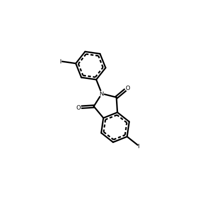 O=C1c2ccc(I)cc2C(=O)N1c1cccc(I)c1